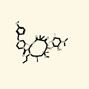 CCCN1C[C@H](C)C[C@@](C)(OC)[C@H](O[C@@H]2O[C@H](C)C[C@H](N(C)C)[C@H]2O)[C@@H](C)C(=O)C(C)(C)C(=O)O[C@@H](C)[C@@H]1C(=O)N1CCN(Cc2cccc(OC)c2)CC1